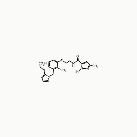 CCn1nc(C)cc1C(=O)NCCOc1cccc(Cn2ccnc2SCC(=O)O)c1C